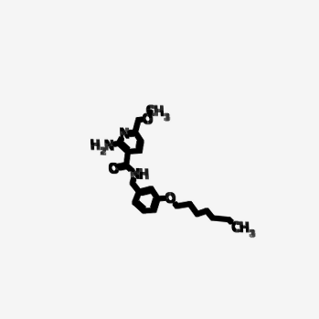 CCCCCCCOc1cccc(CNC(=O)c2ccc(COC)nc2N)c1